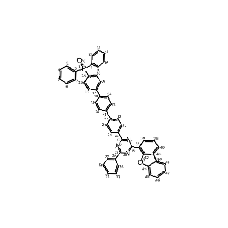 O=P(c1ccccc1)(c1ccccc1)c1ccc(-c2ccc(-c3ccc(-c4nc(-c5ccccc5)nc(-c5cccc6c5oc5ccccc56)n4)cc3)cc2)cc1